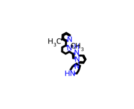 Cc1cccnc1C1CCCC(C2=CN3C(N4C5CCC4CNC5)=CC=CC3N2)N1C